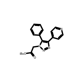 CC(C)COC(=O)Cn1nnc(-c2ccncc2)c1-c1ccccc1